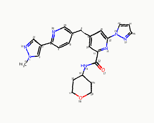 Cn1cc(-c2ccc(Cc3cc(C(=O)NC4CCOCC4)nc(-n4cccn4)c3)cn2)cn1